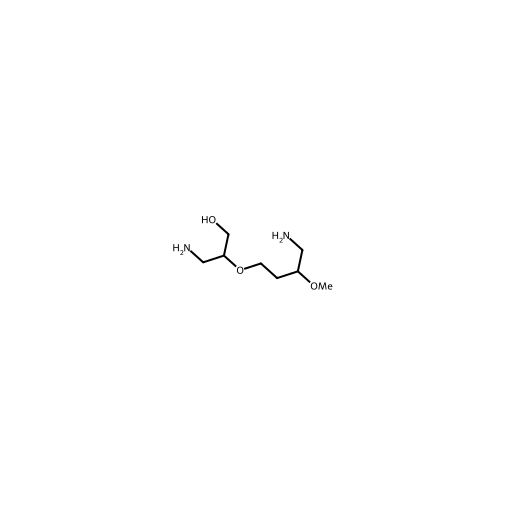 COC(CN)CCOC(CN)CO